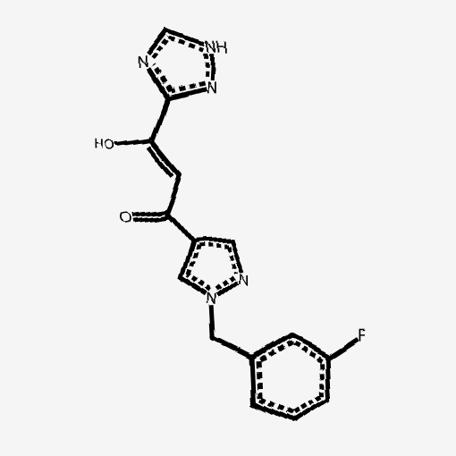 O=C(C=C(O)c1nc[nH]n1)c1cnn(Cc2cccc(F)c2)c1